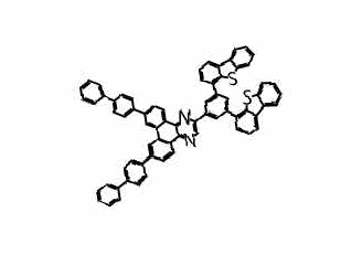 c1ccc(-c2ccc(-c3ccc4c(c3)c3cc(-c5ccc(-c6ccccc6)cc5)ccc3c3nc(-c5cc(-c6cccc7c6sc6ccccc67)cc(-c6cccc7c6sc6ccccc67)c5)cnc43)cc2)cc1